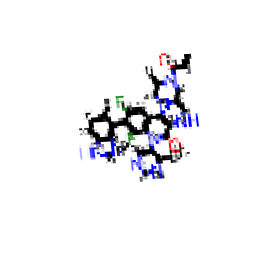 C=CC(=O)N1CC2CNc3c(c4cc(F)c(-c5c(C)ccc6[nH]cnc56)c(F)c4n(-c4c(C(C)C)ncnc4C(C)C)c3=O)N2CC1C